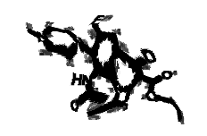 CCOC(=O)c1c2n(c3c(NC(C)=O)c(N4CCN(C)CC4)c(F)cc3c1=O)C(C)S2